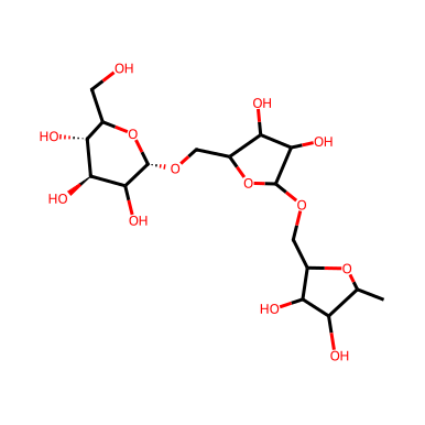 CC1OC(COC2OC(CO[C@H]3OC(CO)[C@@H](O)[C@H](O)C3O)C(O)C2O)C(O)C1O